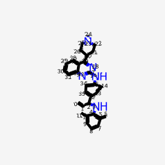 C=CC(Nc1c(C)cccc1C)c1ccc(Nc2nc(C3CCN(C)CC3)c3ccccc3n2)cc1